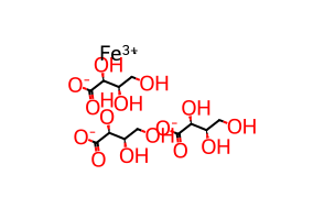 O=C([O-])[C@@H](O)[C@H](O)CO.O=C([O-])[C@@H](O)[C@H](O)CO.O=C([O-])[C@@H](O)[C@H](O)CO.[Fe+3]